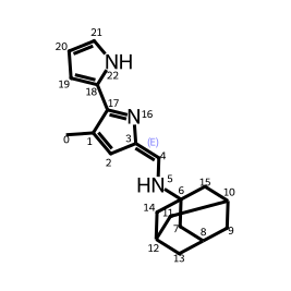 CC1=C/C(=C\NC23CC4CC(CC(C4)C2)C3)N=C1c1ccc[nH]1